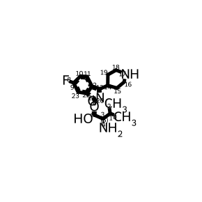 CC(C)[C@H](N)C(=O)O.Fc1ccc2c(C3CCNCC3)noc2c1